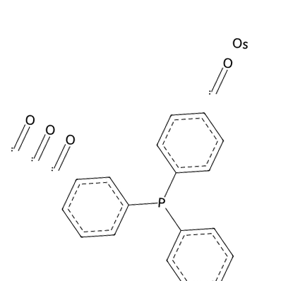 [C]=O.[C]=O.[C]=O.[C]=O.[Os].c1ccc(P(c2ccccc2)c2ccccc2)cc1